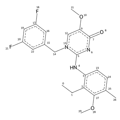 CCc1c(Nc2nc(=O)c(OC)cn2Cc2cc(F)cc(F)c2)ccc(C)c1OC